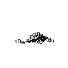 CCCCCCCCCCCCCCCCC([CH]c1ccc(C(C)(C)C)cc1C(C)(C)C)(P(=O)(CC)CCCCCC)P(=O)(CC)CCCCCC